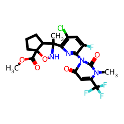 COC(=O)C12CCCC1C(C)(c1nc(-n3c(=O)cc(C(F)(F)F)n(C)c3=O)c(F)cc1Cl)NO2